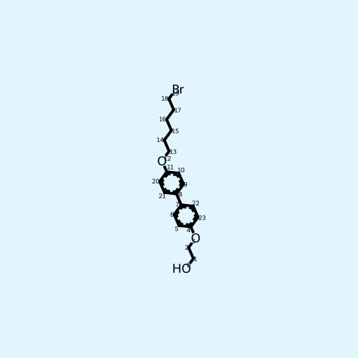 OCCOc1ccc(-c2ccc(OCCCCCCBr)cc2)cc1